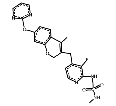 CNS(=O)(=O)Nc1nccc(CC2=C(C)c3ccc(Oc4ncccn4)cc3OC2)c1F